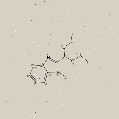 CCOC(OCC)c1nc2ccccc2n1C